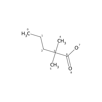 CCCC(C)(C)C([O])=O